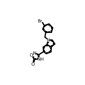 O=c1[nH]c(-c2ccc3ccn(Cc4cccc(Br)c4)c3c2)no1